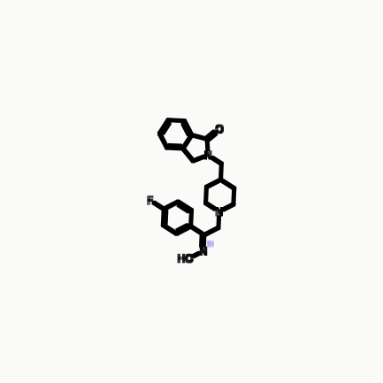 O=C1c2ccccc2CN1CC1CCN(C/C(=N/O)c2ccc(F)cc2)CC1